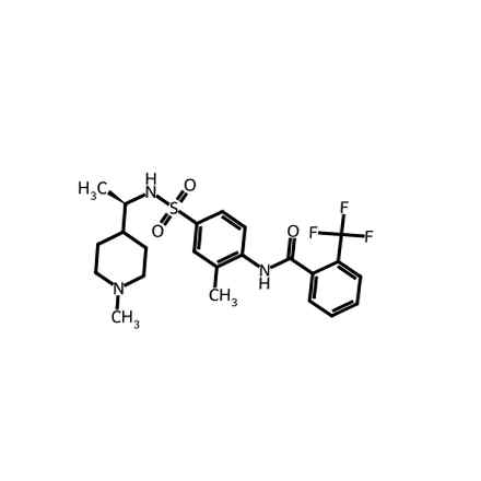 Cc1cc(S(=O)(=O)N[C@H](C)C2CCN(C)CC2)ccc1NC(=O)c1ccccc1C(F)(F)F